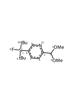 COC(OC)c1ccc([Si](F)(C(C)(C)C)C(C)(C)C)cn1